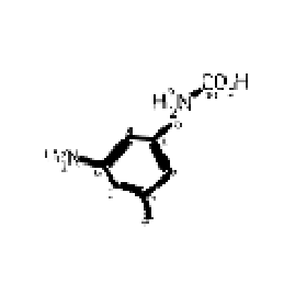 Cc1cc(C)cc(N)c1.NC(=O)O